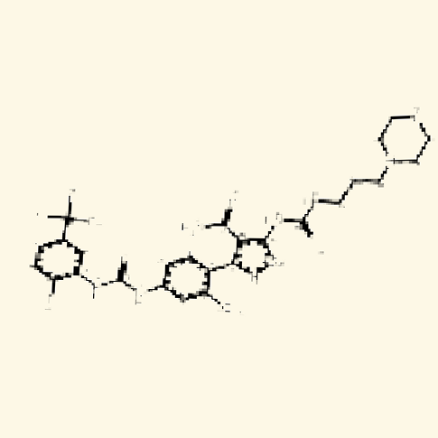 Cc1cc(NC(=O)Nc2cc(C(F)(F)F)ccc2F)ccc1-c1nsc(NC(=O)NCCCN2CCOCC2)c1C(N)=O